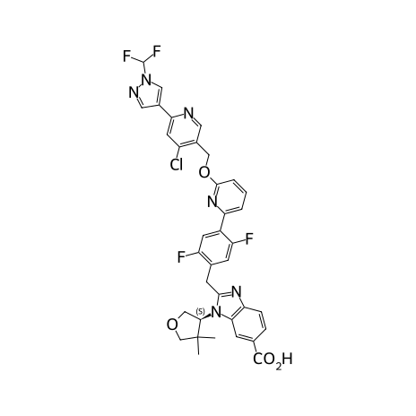 CC1(C)COC[C@H]1n1c(Cc2cc(F)c(-c3cccc(OCc4cnc(-c5cnn(C(F)F)c5)cc4Cl)n3)cc2F)nc2ccc(C(=O)O)cc21